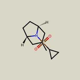 CC1C[C@@H]2CC[C@@H](C1)N2S(=O)(=O)C1CC1